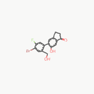 O=C1CCc2cc(-c3cc(F)c(Br)cc3CO)c(O)cc21